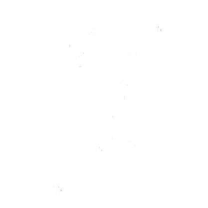 N#Cc1cc(COC(=O)N2CCC(N)CC2)cc(C(F)(F)F)c1